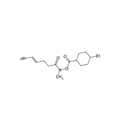 CCCC=CCCC(=O)N(C)OC(=O)C1CCC(CC)CC1